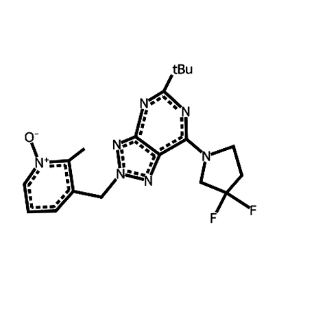 Cc1c(Cn2nc3nc(C(C)(C)C)nc(N4CCC(F)(F)C4)c3n2)ccc[n+]1[O-]